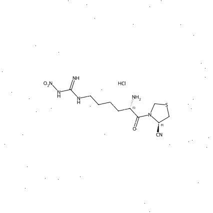 Cl.N#C[C@@H]1CSCN1C(=O)[C@@H](N)CCCCNC(=N)N[N+](=O)[O-]